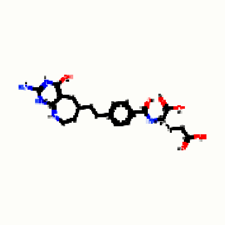 NC1=NC(O)=C2CC(CCc3ccc(C(=O)N[C@@H](CCC(=O)O)C(=O)O)cc3)CCN=C2N1